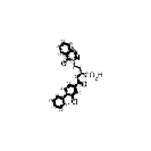 O=C(CC(CCn1nnc2ccccc2c1=O)C(=O)O)c1ccc(-c2ccccc2)c(Cl)c1